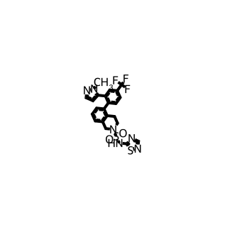 Cn1nccc1-c1cc(C(F)(F)F)ccc1-c1cccc2c1CCN(S(=O)(=O)Nc1ncns1)C2